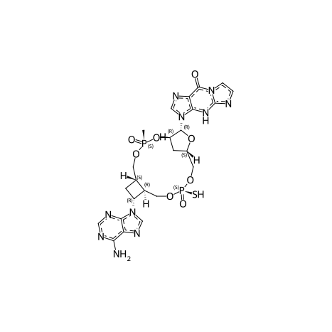 C[P@]1(=O)OC[C@H]2C[C@@H](n3cnc4c(N)ncnc43)[C@@H]2CO[P@](=O)(S)OC[C@@H]2C[C@@H](O1)[C@H](n1cnc3c(=O)n4ccnc4[nH]c31)O2